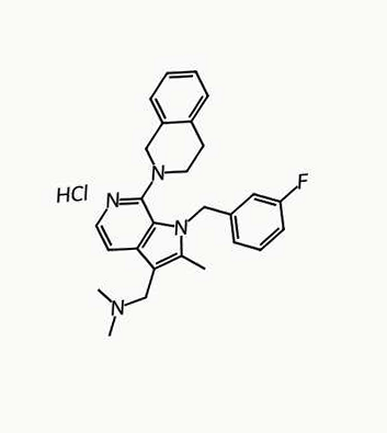 Cc1c(CN(C)C)c2ccnc(N3CCc4ccccc4C3)c2n1Cc1cccc(F)c1.Cl